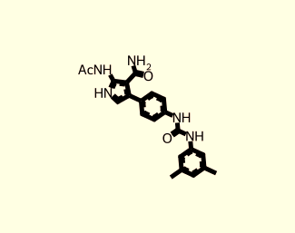 CC(=O)Nc1[nH]cc(-c2ccc(NC(=O)Nc3cc(C)cc(C)c3)cc2)c1C(N)=O